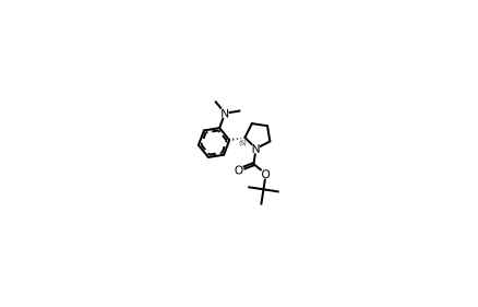 CN(C)c1ccccc1[C@@H]1CCCN1C(=O)OC(C)(C)C